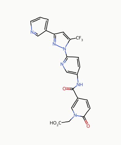 O=C(O)Cn1cc(C(=O)Nc2ccc(-n3nc(-c4cccnc4)cc3C(F)(F)F)nc2)ccc1=O